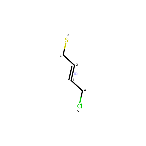 [S]C/C=C/CCl